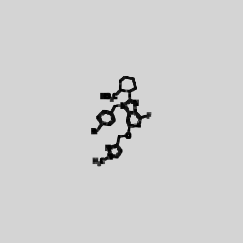 Cn1ccc(COc2cc(F)c3nc(C4CCCCC4C(=O)O)n(Cc4ccc(Br)cc4)c3c2)n1